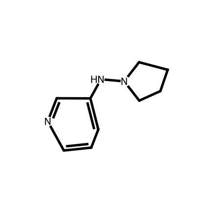 c1cncc(NN2CCCC2)c1